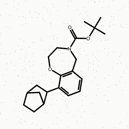 CC(C)(C)OC(=O)N1CCOc2c(cccc2C2CC3CCC2C3)C1